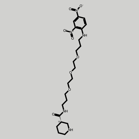 O=C(NCCCOCCOCCOCCCNc1ccc([N+](=O)[O-])cc1[N+](=O)[O-])[C@H]1CCCNC1